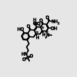 CN(C)[C@@H]1C(O)=C(C(N)=O)C(=O)[C@]2(O)C(O)=C3C(=O)c4c(O)ccc(CCCNS(C)(=O)=O)c4C[C@H]3C[C@@H]12